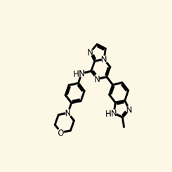 Cc1nc2ccc(-c3cn4ccnc4c(Nc4ccc(N5CCOCC5)cc4)n3)cc2[nH]1